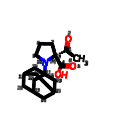 CC(=O)[C@@]1(C(=O)O)CCCN1C12CC3CC(CC(C3)C1)C2